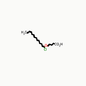 C=C/C=C\C/C=C/C/C=C/CC/C=C(/Cl)O/C=C/CCC(=O)O